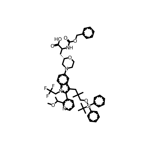 COC(C)c1ncccc1-c1c(CC(C)(C)CO[Si](c2ccccc2)(c2ccccc2)C(C)(C)C)c2cc(N3CCO[C@@H](CC(NC(=O)OCc4ccccc4)C(=O)O)C3)ccc2n1CC(F)(F)F